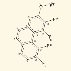 CCCOc1cc2ccc3ccc(F)c(F)c3c2c(F)c1F